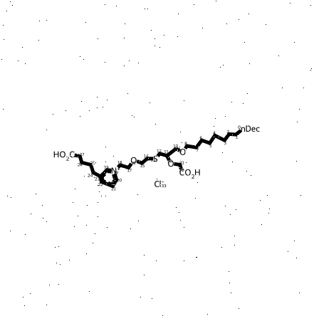 CCCCCCCCCCCCCCCCCCOCC(CSCCOCC[n+]1cccc(CCCCC(=O)O)c1)OCC(=O)O.[Cl-]